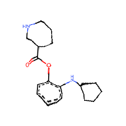 O=C(Oc1ccccc1NC1CCCC1)C1CCCNC1